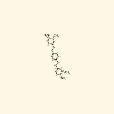 Cc1cc(CCc2ccc(CCc3ccc(N)c(C)c3)cc2)ccc1N